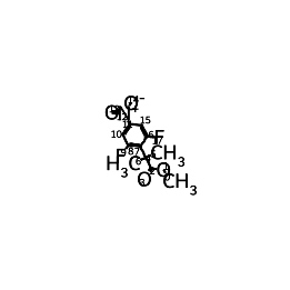 COC(=O)C(C)(C)c1c(F)cc([N+](=O)[O-])cc1F